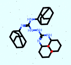 C1CCC(N=C(NNC(=NC2C3CC4CC(C3)CC2C4)NC2C3CC4CC(C3)CC2C4)NC2CCCCC2)CC1